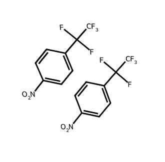 O=[N+]([O-])c1ccc(C(F)(F)C(F)(F)F)cc1.O=[N+]([O-])c1ccc(C(F)(F)C(F)(F)F)cc1